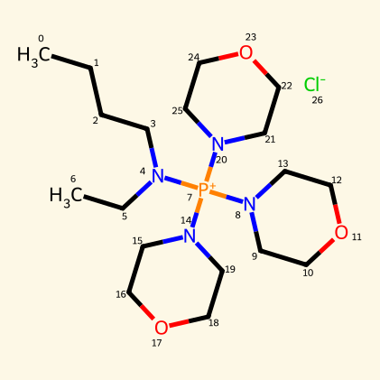 CCCCN(CC)[P+](N1CCOCC1)(N1CCOCC1)N1CCOCC1.[Cl-]